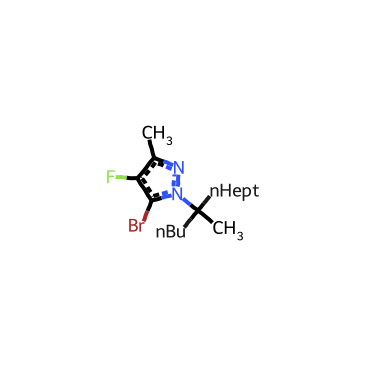 CCCCCCCC(C)(CCCC)n1nc(C)c(F)c1Br